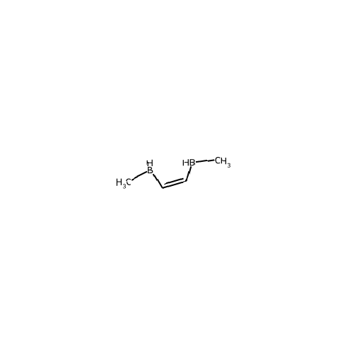 CB/C=C\BC